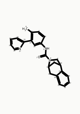 Cc1ccc(NC(=O)N2CC3CC2Cc2ccccc23)cc1-c1ccccn1